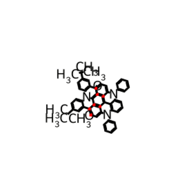 CC(C)(C)c1ccc2c(c1)c(=O)c1cc(-c3c(N(c4ccccc4)c4ccccc4)cccc3N(c3ccccc3)c3ccccc3)cc3c(=O)c4cc(C(C)(C)C)ccc4n2c13